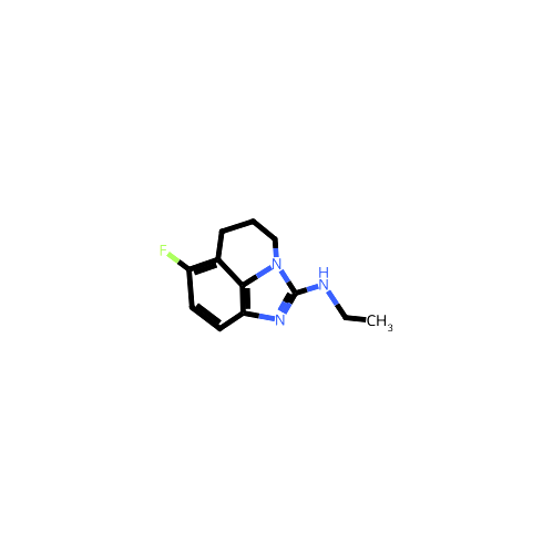 CCNc1nc2ccc(F)c3c2n1CCC3